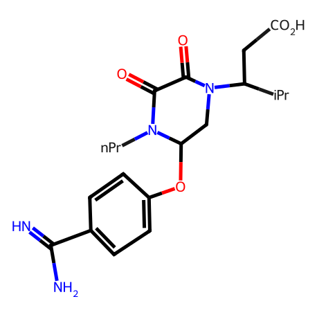 CCCN1C(=O)C(=O)N(C(CC(=O)O)C(C)C)CC1Oc1ccc(C(=N)N)cc1